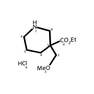 CCOC(=O)C1(COC)CCCNC1.Cl